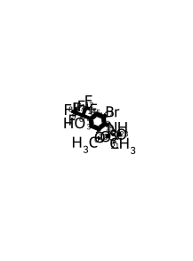 COc1cc(C(O)(C(F)(F)F)C(F)(F)F)cc(Br)c1NS(C)(=O)=O